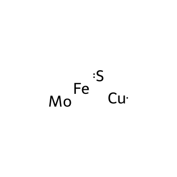 [Cu].[Fe].[Mo].[S]